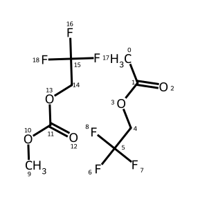 CC(=O)OCC(F)(F)F.COC(=O)OCC(F)(F)F